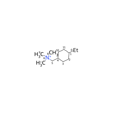 CCC1CCC(C[N+](C)(C)C)CC1